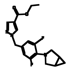 CCOC(=O)c1cnn(Cc2cc(F)c(N3CC4CC4C3)c(F)c2)c1